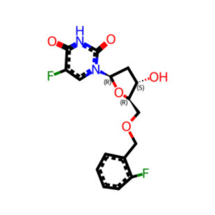 O=c1[nH]c(=O)n([C@H]2C[C@H](O)[C@@H](COCc3ccccc3F)O2)cc1F